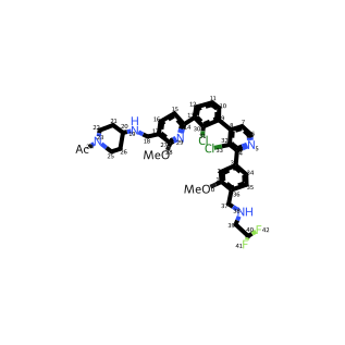 COc1cc(-c2nccc(-c3cccc(-c4ccc(CNC5CCN(C(C)=O)CC5)c(OC)n4)c3Cl)c2Cl)ccc1CNCC(F)F